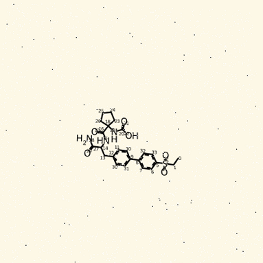 CCS(=O)(=O)c1ccc(-c2ccc(CC(NC(=O)C3(NC(=O)O)CCCC3)C(N)=O)cc2)cc1